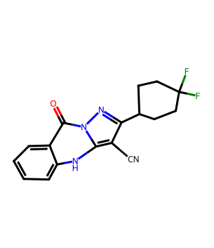 N#Cc1c(C2CCC(F)(F)CC2)nn2c(=O)c3ccccc3[nH]c12